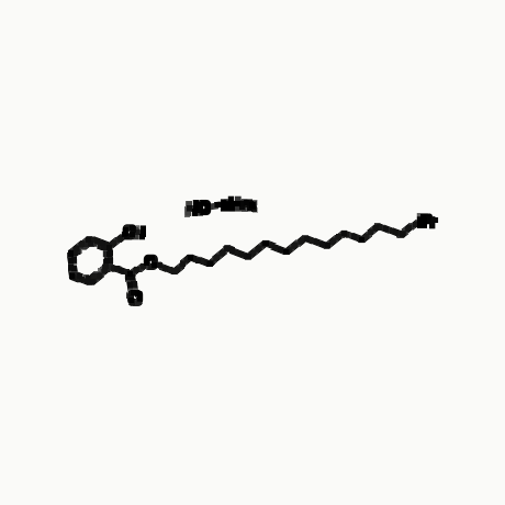 CC(C)CCCCCCCCCCCCCOC(=O)c1ccccc1O.CCCCCCO